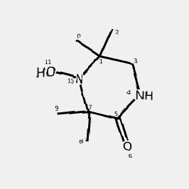 CC1(C)CNC(=O)C(C)(C)N1O